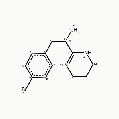 C[C@@H](Cc1ccc(Br)cc1)C1=NCCCN1